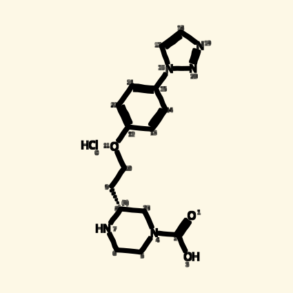 Cl.O=C(O)N1CCN[C@H](CCOc2ccc(-n3ccnn3)cc2)C1